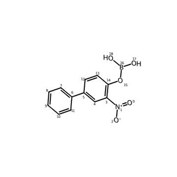 O=[N+]([O-])c1cc(-c2ccccc2)ccc1OB(O)O